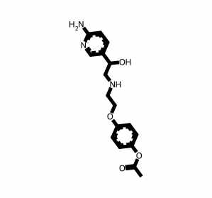 CC(=O)Oc1ccc(OCCNCC(O)c2ccc(N)nc2)cc1